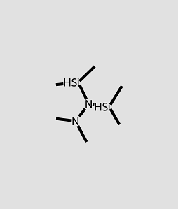 CN(C)N([SiH](C)C)[SiH](C)C